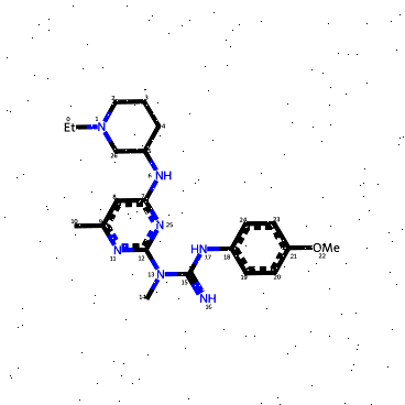 CCN1CCCC(Nc2cc(C)nc(N(C)C(=N)Nc3ccc(OC)cc3)n2)C1